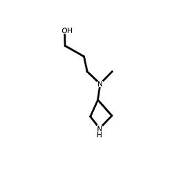 CN(CCCO)C1CNC1